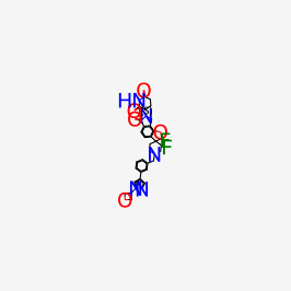 O=C1CC[C@H](N2Cc3c(ccc4c3OCC43CCN(Cc4cccc(-c5cnn(C6COC6)c5)c4)CC3(F)F)C2=O)C(=O)N1